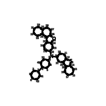 c1ccc(-c2ccc(N(c3ccc4sc5ccccc5c4c3)c3cc4oc5ccc6ccccc6c5c4cn3)cc2)cc1